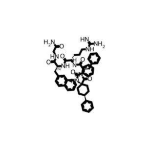 N=C(N)NCCC[C@H](NC(=O)[C@@H](Cc1ccccc1)NC(=O)[C@]1(NC(=O)c2ccccc2)CC[C@@H](c2ccccc2)CC1)C(=O)N[C@@H](Cc1ccc2ccccc2c1)C(=O)NCC(N)=O